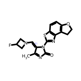 CC1=NC(=O)N(c2nc3c4c(ccc3s2)OCC4)/C1=C/N1CC(F)C1